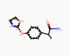 CC(C(N)=O)c1ccc(Oc2nccs2)cc1